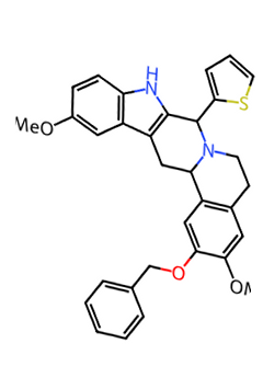 COc1ccc2[nH]c3c(c2c1)CC1c2cc(OCc4ccccc4)c(OC)cc2CCN1C3c1cccs1